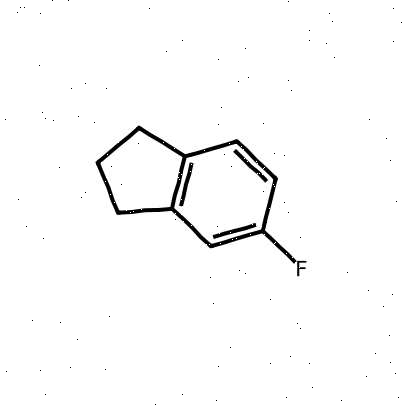 Fc1ccc2c(c1)CCC2